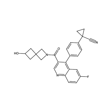 N#CC1(c2ccc(-c3c(C(=O)N4CC5(CC(O)C5)C4)cnc4ccc(F)cc34)cc2)CC1